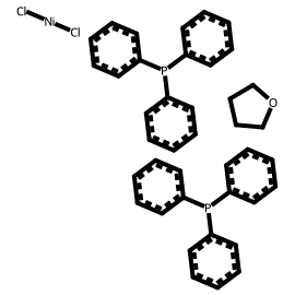 C1CCOC1.[Cl][Ni][Cl].c1ccc(P(c2ccccc2)c2ccccc2)cc1.c1ccc(P(c2ccccc2)c2ccccc2)cc1